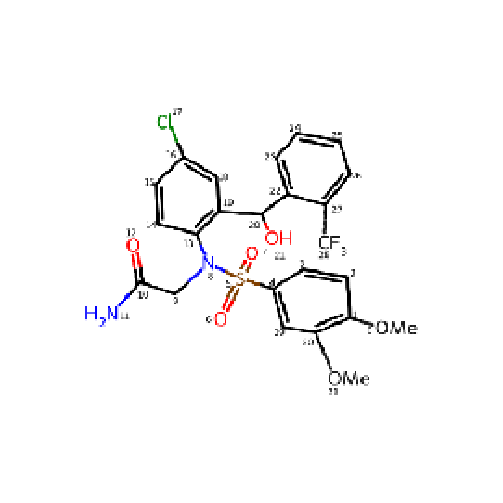 COc1ccc(S(=O)(=O)N(CC(N)=O)c2ccc(Cl)cc2C(O)c2ccccc2C(F)(F)F)cc1OC